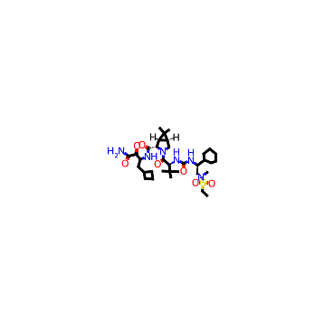 CCS(=O)(=O)N(C)C[C@@H](NC(=O)N[C@H](C(=O)N1C[C@H]2[C@@H]([C@H]1C(=O)NC(CC1CCC1)C(=O)C(N)=O)C2(C)C)C(C)(C)C)C1CCCCC1